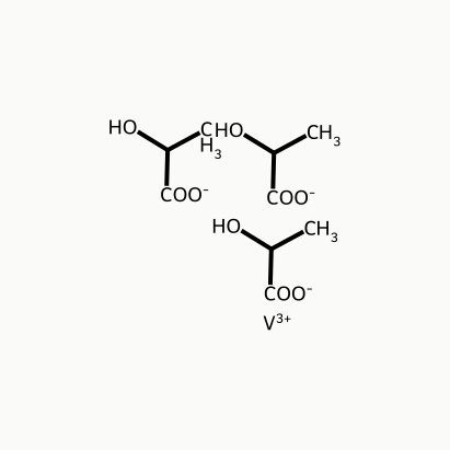 CC(O)C(=O)[O-].CC(O)C(=O)[O-].CC(O)C(=O)[O-].[V+3]